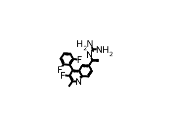 C=C(N=C(N)N)c1ccc2nc(C)c(F)c(-c3c(F)cccc3F)c2c1